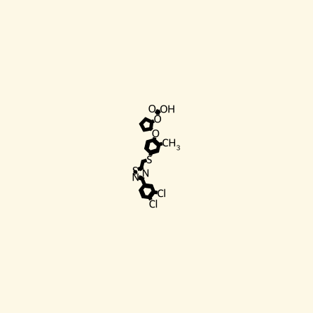 Cc1cc(SCc2nc(-c3ccc(Cl)c(Cl)c3)ns2)ccc1OC1CCCC1OC(=O)O